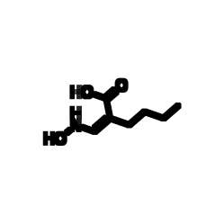 CCCCC(=CNO)C(=O)O